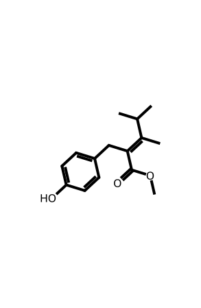 COC(=O)/C(Cc1ccc(O)cc1)=C(\C)C(C)C